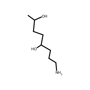 CC(O)CCC(O)CCCN